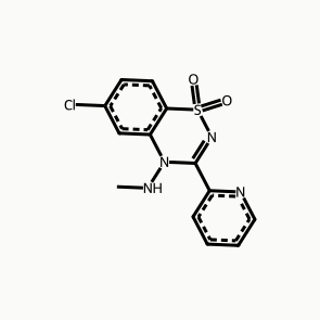 CNN1C(c2ccccn2)=NS(=O)(=O)c2ccc(Cl)cc21